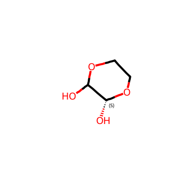 OC1OCCO[C@@H]1O